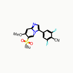 COc1cc2ncc(-c3cc(F)c(C#N)c(F)c3)n2cc1S(=O)(=O)C(C)(C)C